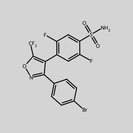 NS(=O)(=O)c1cc(F)c(-c2c(-c3ccc(Br)cc3)noc2C(F)(F)F)cc1F